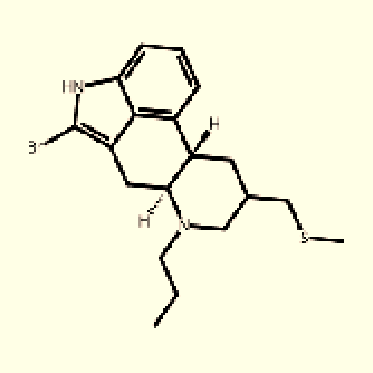 CCCN1CC(CSC)C[C@H]2c3cccc4[nH]c(Br)c(c34)C[C@@H]21